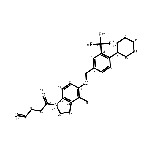 Cc1c(OCc2ccc(C3CCCCC3)c(C(F)(F)F)c2)ccc2c1CCN2C(=O)CCC=O